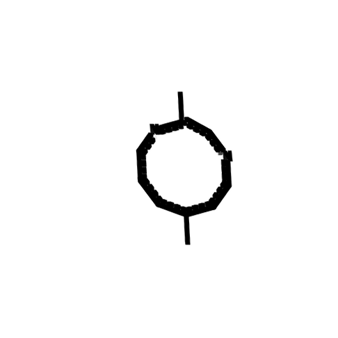 Cc1cccnc(C)cncc1